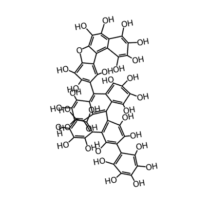 Oc1c(O)c(O)c(-c2c(O)c(O)c(-c3c4c(O)c(O)c(O)c(O)c4c(-c4c(O)c(O)c5oc6c(O)c(O)c7c(O)c(O)c(O)c(O)c7c6c5c4O)c4c(O)c(O)c(O)c(O)c34)c(-c3c(O)c(O)c(O)c(O)c3O)c2O)c(O)c1O